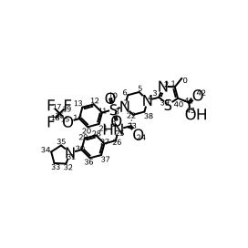 Cc1nc(N2CCN(S(=O)(=O)c3ccc(OC(F)(F)F)cc3)[C@@H](C(=O)NCc3ccc(N4CCCC4)cc3)C2)sc1C(=O)O